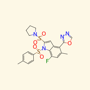 Cc1ccc(S(=O)(=O)n2c(S(=O)(=O)N3CCCC3)cc3c(-c4nnco4)c(C)cc(F)c32)cc1